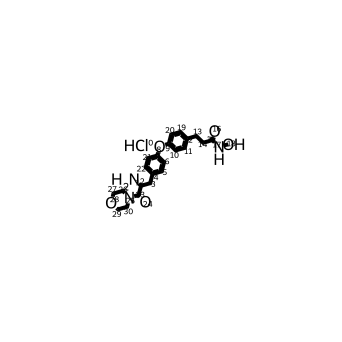 Cl.NC(Cc1ccc(Oc2ccc(CCC(=O)NO)cc2)cc1)C(=O)N1CCOCC1